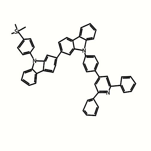 C[Si](C)(C)c1ccc(-n2c3ccccc3c3ccc(-c4ccc5c6ccccc6n(-c6ccc(-c7cc(-c8ccccc8)nc(-c8ccccc8)c7)cc6)c5c4)cc32)cc1